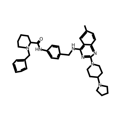 Cc1ccc2nc(N3CCC(N4CCCC4)CC3)nc(NCc3ccc(NC(=O)C4CCCCN4Cc4ccccc4)cc3)c2c1